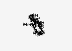 CC[C@@H](C)NC(=O)CCc1ccc(Oc2nc(Nc3ccc(OCC4CCCN(C)C4)c(F)c3)ncc2C(=O)Nc2c(C)cccc2C)c(OC)c1